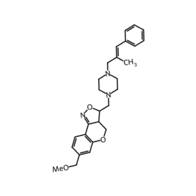 COCc1ccc2c(c1)OCC1C2=NOC1CN1CCN(C/C(C)=C/c2ccccc2)CC1